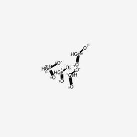 [O]=[GeH][O-].[O]=[GeH][O-].[O]=[GeH][O-].[O]=[GeH][O-].[Ti+4]